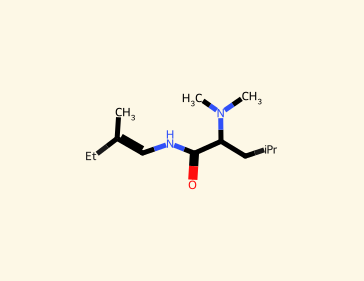 CC/C(C)=C/NC(=O)C(CC(C)C)N(C)C